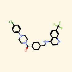 O=C([C@H]1CC[C@H](CNc2ccnc3cc(C(F)(F)F)ccc23)CC1)N1CCN(c2ccc(Cl)cc2)CC1